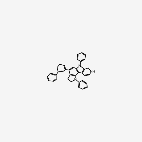 C1=Cc2c(n(-c3ccccc3)c3cc(C4=CCCC(c5ccccc5)=C4)c4c(c23)N(c2ccccc2)CC4)CN1